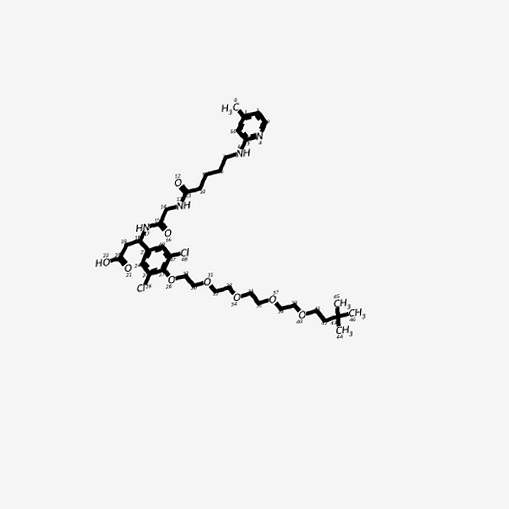 Cc1ccnc(NCCCCC(=O)NCC(=O)NC(CC(=O)O)c2cc(Cl)c(OCCOCCOCCOCCOCCC(C)(C)C)c(Cl)c2)c1